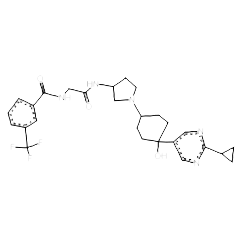 O=C(CNC(=O)c1cccc(C(F)(F)F)c1)NC1CCN(C2CCC(O)(c3cnc(C4CC4)nc3)CC2)C1